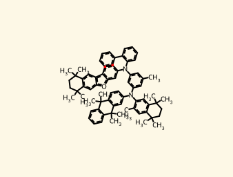 Cc1cc(N(c2ccc3c(c2)C(C)(C)c2ccccc2C3(C)C)c2cc3c(cc2C)C(C)(C)CCC3(C)C)cc(N(c2ccc3c(c2)oc2cc4c(cc23)C(C)(C)CCC4(C)C)c2ccccc2-c2ccccc2)c1